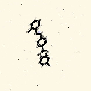 Cc1ccc2nc(-c3ccc(/C=C/c4ccccc4C)cc3)sc2c1